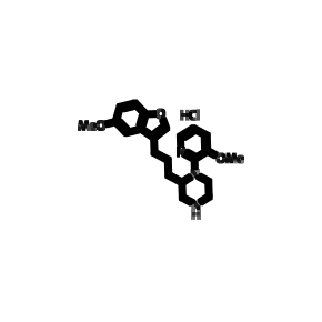 COc1ccc2occ(CCCC3CNCCN3c3ncccc3OC)c2c1.Cl